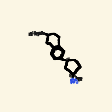 CCCCCCCC1CCc2cc([C@H]3CC[C@](N)(CC)C3)ccc2C1